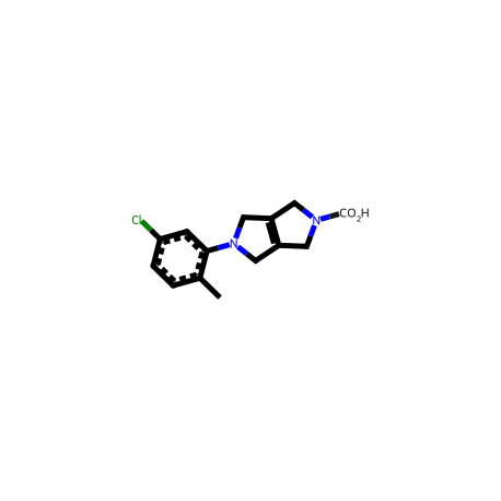 Cc1ccc(Cl)cc1N1CC2=C(CN(C(=O)O)C2)C1